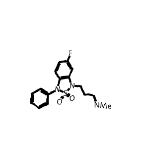 CNCCCN1c2cc(F)ccc2N(c2ccccc2)S1(=O)=O